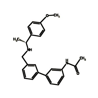 COc1ccc([C@@H](C)NCc2cccc(-c3cccc(NC(C)=O)c3)c2)cc1